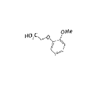 COc1cc[c]cc1OCC(=O)O